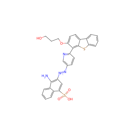 Nc1c(/N=N/c2ccc(-c3c(OCCCO)ccc4c3sc3ccccc34)nc2)cc(S(=O)(=O)O)c2ccccc12